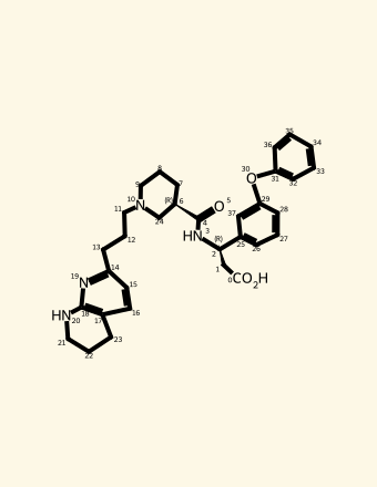 O=C(O)C[C@@H](NC(=O)[C@@H]1CCCN(CCCc2ccc3c(n2)NCCC3)C1)c1cccc(Oc2ccccc2)c1